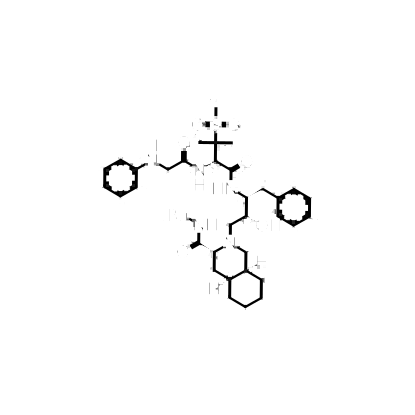 CC(C)(C)NC(=O)[C@@H]1C[C@@H]2CCCC[C@@H]2CN1C[C@@H](O)[C@H](Cc1ccccc1)NC(=O)[C@@H](NC(=O)CNc1ccccc1)C(C)(C)S(C)(=O)=O